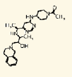 C=C(NC(C)C(O)CN1CCc2ccccc2C1)C1=NC=NC(NC2CCN(C(C)=O)CC2)C1